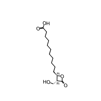 O=C(O)CCCCCCCCCC[C@H]1OC(=O)[C@@H]1CO